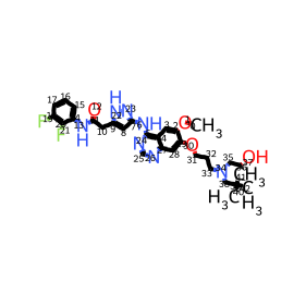 COc1cc2c(Nc3cc(CC(=O)Nc4cccc(F)c4F)[nH]n3)ncnc2cc1OCCCN(CCO)CC(C)(C)C